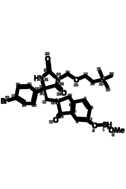 COBOc1ccc2c(c1)C(=O)N(C[C@@]1(c3ccc(Br)cc3)NC(=O)N(COCC[Si](C)(C)C)C1=O)C2